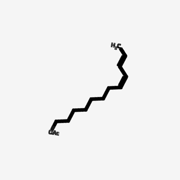 C/C=C/C=C\CCCCCCCOC(C)=O